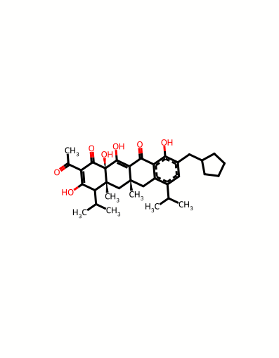 CC(=O)C1=C(O)C(C(C)C)[C@@]2(C)C[C@@]3(C)Cc4c(C(C)C)cc(CC5CCCC5)c(O)c4C(=O)C3=C(O)[C@@]2(O)C1=O